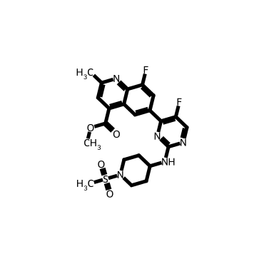 COC(=O)c1cc(C)nc2c(F)cc(-c3nc(NC4CCN(S(C)(=O)=O)CC4)ncc3F)cc12